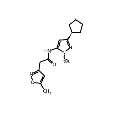 Cc1cc(CC(=O)Nc2cc([C@H]3C[CH]CC3)nn2C(C)(C)C)no1